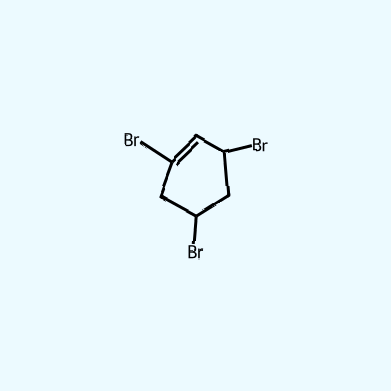 BrC1=CC(Br)CC(Br)C1